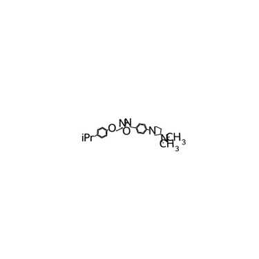 CC(C)c1ccc(OCc2nnc(-c3ccc(N4CCC(N(C)C)C4)cc3)o2)cc1